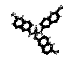 N#Cc1ccc2cc(OP(=O)(Oc3ccc4nc(C#N)ccc4c3)Oc3ccc4nc(C#N)ccc4c3)ccc2n1